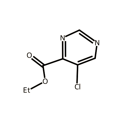 CCOC(=O)c1ncncc1Cl